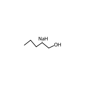 CCC[CH]CO.[NaH]